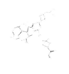 C=CC(=O)N1CC2(CCN(c3nc(N4CC(CN(C)C)C4)nc4c(OCC(F)(F)F)c(C5=c6cn[nH]c6=CCC5C)c(C5CC5)cc34)CC2)C1